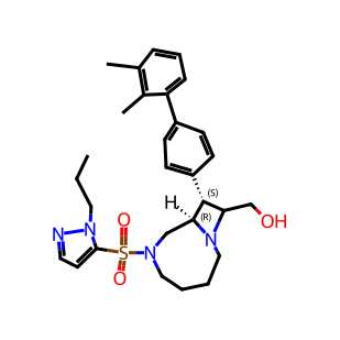 CCCn1nccc1S(=O)(=O)N1CCCCN2C(CO)[C@@H](c3ccc(-c4cccc(C)c4C)cc3)[C@@H]2C1